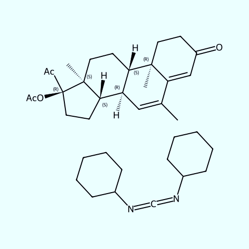 C(=NC1CCCCC1)=NC1CCCCC1.CC(=O)O[C@]1(C(C)=O)CC[C@H]2[C@@H]3C=C(C)C4=CC(=O)CC[C@]4(C)[C@H]3CC[C@@]21C